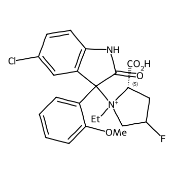 CC[N+]1(C2(c3ccccc3OC)C(=O)Nc3ccc(Cl)cc32)CC(F)C[C@H]1C(=O)O